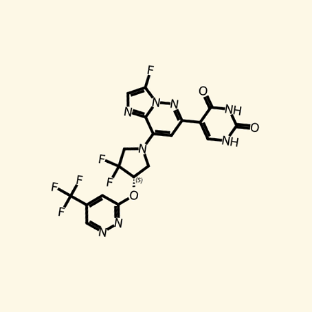 O=c1[nH]cc(-c2cc(N3C[C@H](Oc4cc(C(F)(F)F)cnn4)C(F)(F)C3)c3ncc(F)n3n2)c(=O)[nH]1